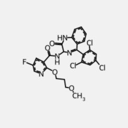 COCCCOc1ncc(F)cc1C(=O)NC1N=C(c2c(Cl)cc(Cl)cc2Cl)c2ccccc2NC1=O